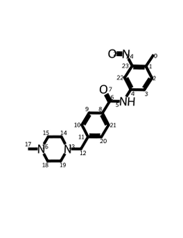 Cc1ccc(NC(=O)c2ccc(CN3CCN(C)CC3)cc2)cc1N=O